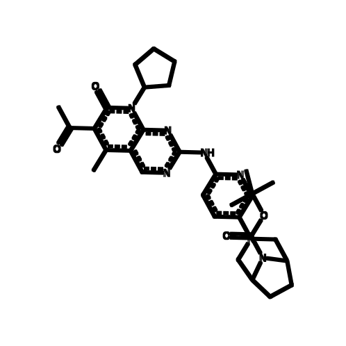 CC(=O)c1c(C)c2cnc(Nc3ccc(N4CC5CCC(C4)N5C(=O)OC(C)(C)C)cn3)nc2n(C2CCCC2)c1=O